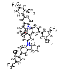 N#Cc1ccc(-n2c3ccccc3c3cc(-c4ccc(C(F)(F)F)cc4C(F)(F)F)ccc32)cc1-c1cc(-c2cc(C(F)(F)F)cc(C(F)(F)F)c2)ccc1-n1c2ccccc2c2cc(-c3ccc(C(F)(F)F)cc3C(F)(F)F)ccc21